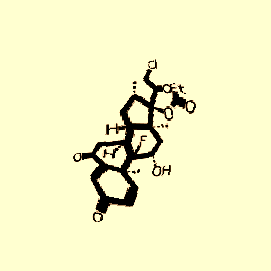 CCC(=O)O[C@]1(C(=O)CCl)[C@@H](C)C[C@H]2[C@@H]3CC(=O)C4=CC(=O)C=C[C@]4(C)[C@@]3(F)[C@@H](O)C[C@@]21C